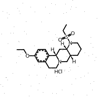 CCOc1ccc2c(c1)CCN1C[C@H]3CCCN(S(=O)(=O)CC)[C@H]3C[C@@H]21.Cl